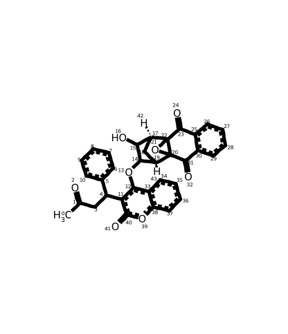 CC(=O)CC(c1ccccc1)c1c(OC2C(O)[C@@H]3C[C@H]2C24OC32C(=O)c2ccccc2C4=O)c2ccccc2oc1=O